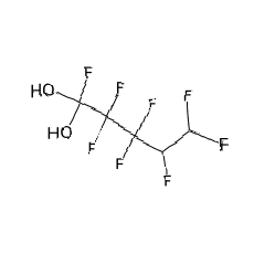 OC(O)(F)C(F)(F)C(F)(F)C(F)C(F)F